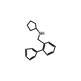 [c]1cccc(-c2ccccc2)c1CNC1CCCC1